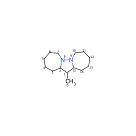 CC1C2CCCCCN2N2CCCCCC12